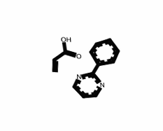 C=CC(=O)O.c1ccc(-c2ncccn2)cc1